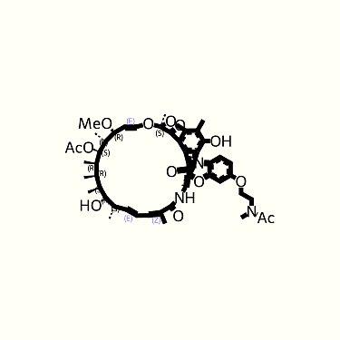 CO[C@H]1/C=C/O[C@@]2(C)Oc3c(C)c(O)c4c(=O)c(c5oc6cc(OCCN(C)C(C)=O)ccc6nc-5c4c3C2=O)NC(=O)/C(C)=C\C=C\[C@H](C)[C@H](O)[C@@H](C)[C@@H](C)[C@@H](C)[C@H](OC(C)=O)[C@@H]1C